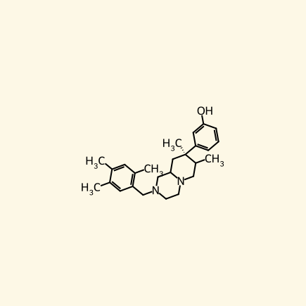 Cc1cc(C)c(CN2CCN3CC(C)[C@](C)(c4cccc(O)c4)CC3C2)cc1C